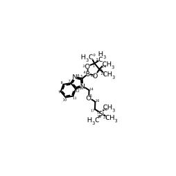 CC1(C)OB(c2nc3ccccc3n2COCC[Si](C)(C)C)OC1(C)C